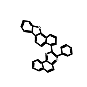 c1ccc(-c2nc3ccc4ccccc4c3nc2-c2cccc3c2ccc2c4ccccc4oc32)cc1